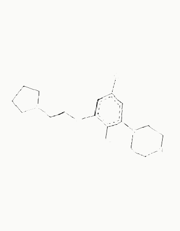 Cc1c(OCCN2CCCC2)cc(Cl)cc1N1CCNCC1